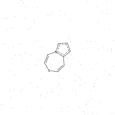 C1=Cc2cccn2C=CS1